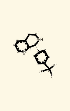 FC(F)(F)c1ccc([C@H]2NCCc3cccnc32)cc1